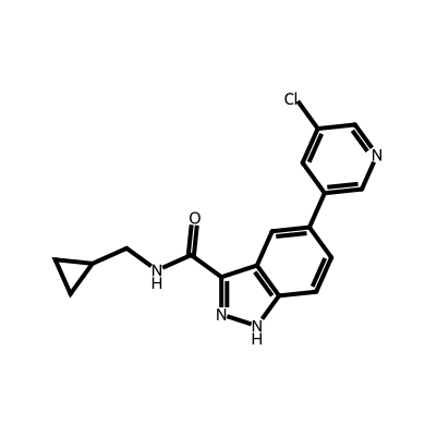 O=C(NCC1CC1)c1n[nH]c2ccc(-c3cncc(Cl)c3)cc12